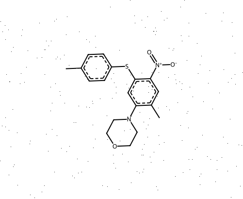 Cc1ccc(Sc2cc(N3CCOCC3)c(C)cc2[N+](=O)[O-])cc1